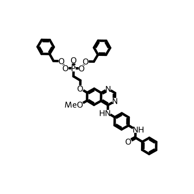 COc1cc2c(Nc3ccc(NC(=O)c4ccccc4)cc3)ncnc2cc1OCCP(=O)(OOCc1ccccc1)OOCc1ccccc1